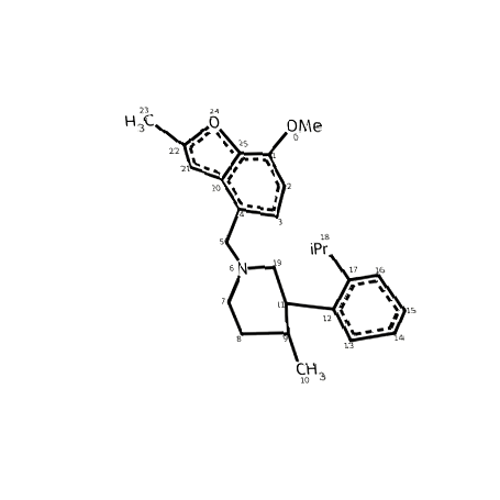 COc1ccc(CN2CCC(C)C(c3ccccc3C(C)C)C2)c2cc(C)oc12